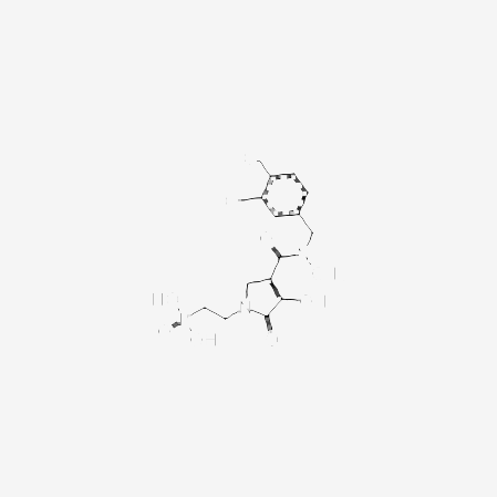 CN(Cc1ccc(Cl)c(Cl)c1)C(=O)C1=C(O)C(=O)N(CCP(=O)(O)O)C1